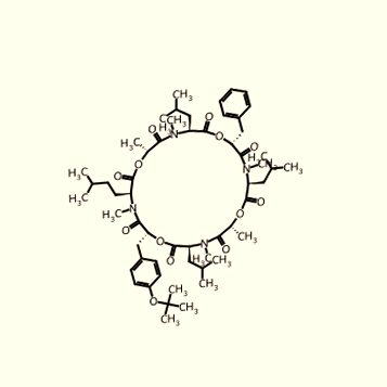 CC(C)CC[C@H]1C(=O)O[C@H](C)C(=O)N(C)[C@@H](CC(C)C)C(=O)O[C@H](Cc2ccccc2)C(=O)N(C)[C@@H](CC(C)C)C(=O)O[C@H](C)C(=O)N(C)[C@@H](CC(C)C)C(=O)O[C@H](Cc2ccc(OC(C)(C)C)cc2)C(=O)N1C